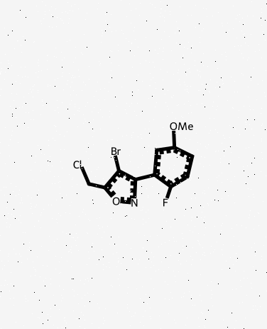 COc1ccc(F)c(-c2noc(CCl)c2Br)c1